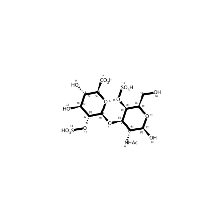 CC(=O)N[C@@H]1[C@@H](O[C@@H]2O[C@H](C(=O)O)[C@@H](O)[C@H](O)[C@H]2OS(=O)(=O)O)[C@@H](OS(=O)(=O)O)[C@@H](CO)O[C@H]1O